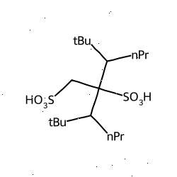 CCCC(C(C)(C)C)C(CS(=O)(=O)O)(C(CCC)C(C)(C)C)S(=O)(=O)O